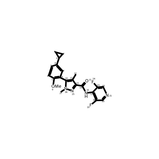 COc1ccc(C2CC2)cc1-c1c(C)c(C(=O)Nc2c(F)cncc2F)nn1C